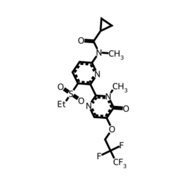 CCS(=O)(=O)c1ccc(N(C)C(=O)C2CC2)nc1-c1ncc(OCC(F)(F)C(F)(F)F)c(=O)n1C